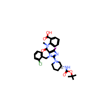 CN(C(=O)c1c(I)nc(N2CCC[C@@H](NC(=O)OC(C)(C)C)C2)n1Cc1ccccc1Cl)c1ccccc1C(=O)O